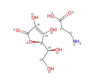 NCCC(=O)O.O=C1O[C@H]([C@@H](O)CO)C(O)=C1O